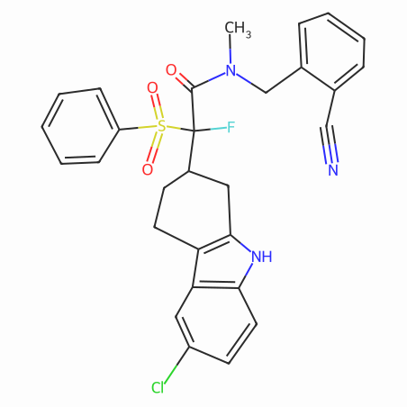 CN(Cc1ccccc1C#N)C(=O)C(F)(C1CCc2c([nH]c3ccc(Cl)cc23)C1)S(=O)(=O)c1ccccc1